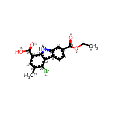 CCOC(=O)c1ccc2c(c1)[nH]c1c(C(=O)O)cc(C)c(Br)c12